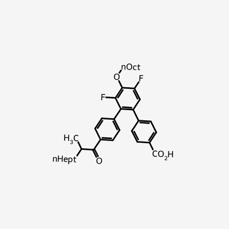 CCCCCCCCOc1c(F)cc(-c2ccc(C(=O)O)cc2)c(-c2ccc(C(=O)C(C)CCCCCCC)cc2)c1F